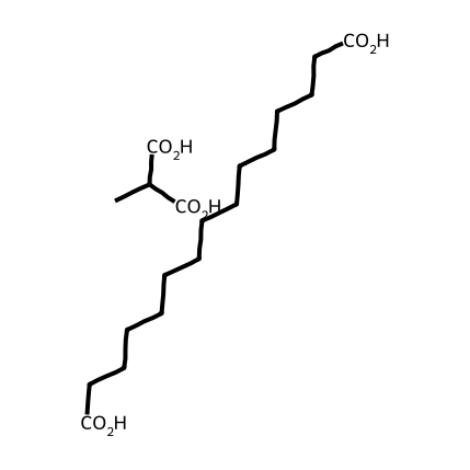 CC(C(=O)O)C(=O)O.O=C(O)CCCCCCCCCCCCCC(=O)O